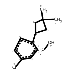 CC1(C)CC(c2ccc(Cl)cc2)C1.O=C(O)O